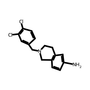 Nc1ccc2c(c1)CCN(Cc1ccc(Cl)c(Cl)c1)C2